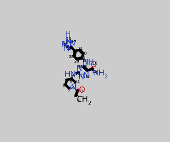 C=CC(=O)N1CCC[C@@H](Nc2nnc(C(N)=O)c(Nc3ccc(-c4nn[nH]n4)cc3)n2)C1